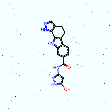 O=C(Nc1cc(O)[nH]n1)c1ccc2c3c([nH]c2c1)-c1[nH]ncc1CC3